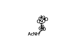 CC(=O)NCCCS(=O)(=O)OCC(C)(C)[C@H]1OC(=O)OC(C)OC1=O